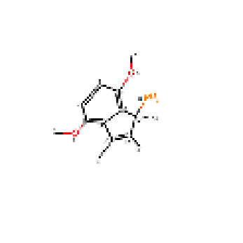 COc1ccc(OC)c2c1C(C)=C(C)[C@]2(C)P